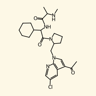 CNC(C)C(=O)NC(C(=O)N1CCCC1Cn1cc(C(C)=O)c2cc(Cl)cnc21)C1CCCCC1